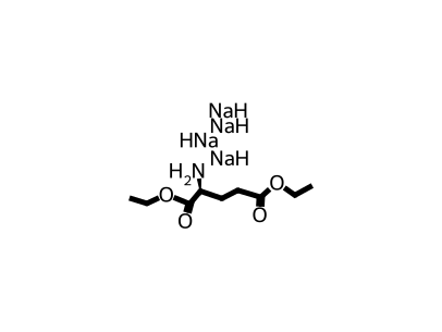 CCOC(=O)CC[C@H](N)C(=O)OCC.[NaH].[NaH].[NaH].[NaH]